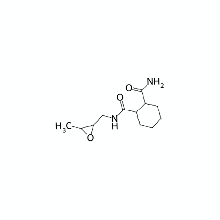 CC1OC1CNC(=O)C1CCCCC1C(N)=O